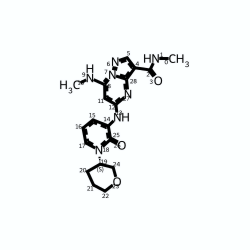 CNC(=O)c1cnn2c(NC)cc(Nc3cccn([C@H]4CCCOC4)c3=O)nc12